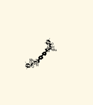 C[C@@H]1CN(C(=O)C(=O)N[C@H](c2nc(-c3ccc(-c4ccc(-c5c[nH]c([C@@H](NC(=O)C(=O)N6C[C@@H](C)O[C@@H](C)C6)C(C)(C)C)n5)cc4)cc3)c[nH]2)C(C)(C)C)C[C@H](C)O1